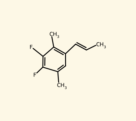 CC=Cc1cc(C)c(F)c(F)c1C